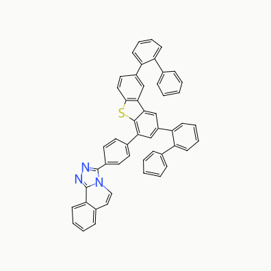 c1ccc(-c2ccccc2-c2ccc3sc4c(-c5ccc(-c6nnc7c8ccccc8ccn67)cc5)cc(-c5ccccc5-c5ccccc5)cc4c3c2)cc1